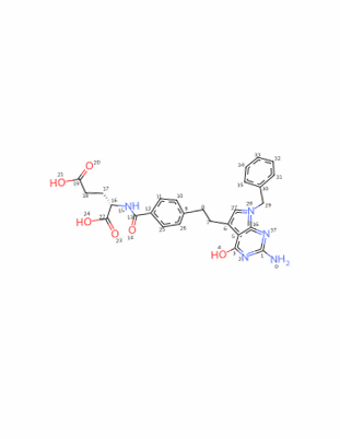 Nc1nc(O)c2c(CCc3ccc(C(=O)N[C@@H](CCC(=O)O)C(=O)O)cc3)cn(Cc3ccccc3)c2n1